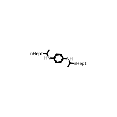 CCCCCCCC(C)Nc1ccc(NC(C)CCCCCCC)cc1